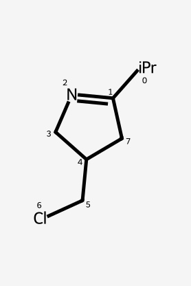 CC(C)C1=NCC(CCl)C1